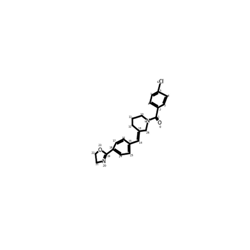 O=C(c1ccc(Cl)cc1)N1CCCC(=Cc2ccc(C3=NCCO3)cc2)C1